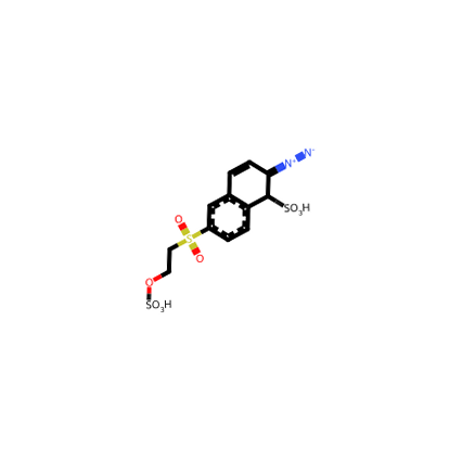 [N-]=[N+]=C1C=Cc2cc(S(=O)(=O)CCOS(=O)(=O)O)ccc2C1S(=O)(=O)O